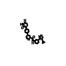 O=C(Nc1cccc(-c2nncn2C2CC2)c1)c1cc(-c2ccc(N3CCNNC3=O)cc2)ccn1